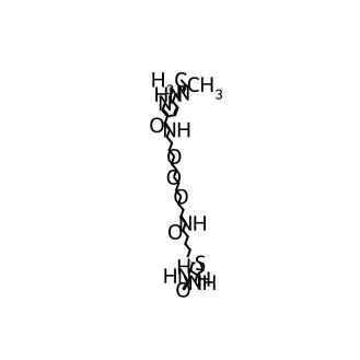 CC(C)=NNc1ccc(C(=O)NCCCOCCOCCOCCCNC(=O)CCCC[C@@H]2SC[C@@H]3NC(=O)N[C@@H]32)cn1